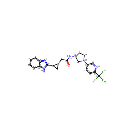 O=C(C[C@H]1C[C@H]1c1nc2ccccc2[nH]1)N[C@@H]1CCN(c2ccc(C(F)(F)F)nc2)C1